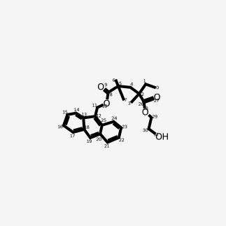 CCC(C)(CC(C)(C)C(=O)OCc1c2ccccc2cc2ccccc12)C(=O)OCCO